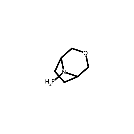 PN1C2CCC1COC2